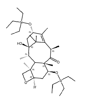 CC[Si](CC)(CC)O[C@H]1C[C@@]2(O)[C@@H](C)C3[C@]4(C)CO[C@@H]4C[C@H](O[Si](CC)(CC)CC)[C@@]3(C)C(=O)[C@H](C)C(=C1C)C2(C)C